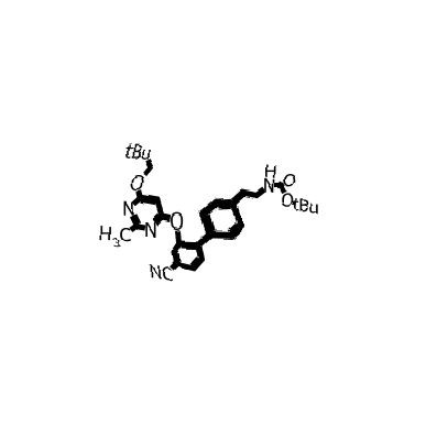 Cc1nc(OCC(C)(C)C)cc(Oc2cc(C#N)ccc2-c2ccc(CCNC(=O)OC(C)(C)C)cc2)n1